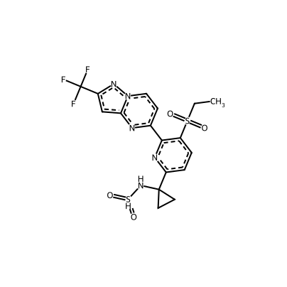 CCS(=O)(=O)c1ccc(C2(N[SH](=O)=O)CC2)nc1-c1ccn2nc(C(F)(F)F)cc2n1